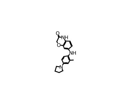 Cc1cc(N2CCCC2)ccc1Nc1ccc2c(c1)OCC(=O)N2